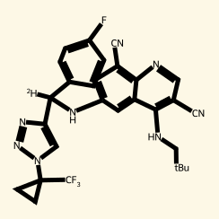 [2H]C(Nc1cc(C#N)c2ncc(C#N)c(NCC(C)(C)C)c2c1)(c1ccc(F)cc1)c1cn(C2(C(F)(F)F)CC2)nn1